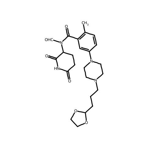 Cc1ccc(N2CCN(CCCC3OCCO3)CC2)cc1C(=O)N(C=O)C1CCC(=O)NC1=O